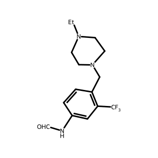 CCN1CCN(Cc2ccc(NC=O)cc2C(F)(F)F)CC1